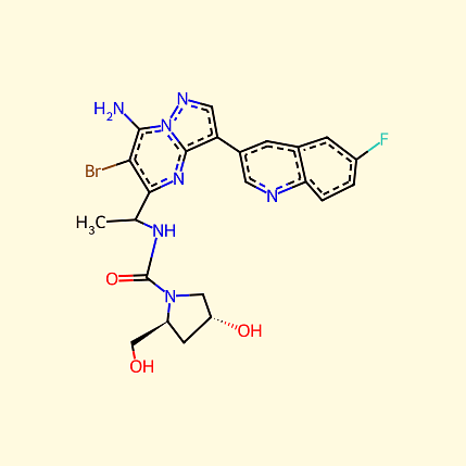 CC(NC(=O)N1C[C@H](O)C[C@H]1CO)c1nc2c(-c3cnc4ccc(F)cc4c3)cnn2c(N)c1Br